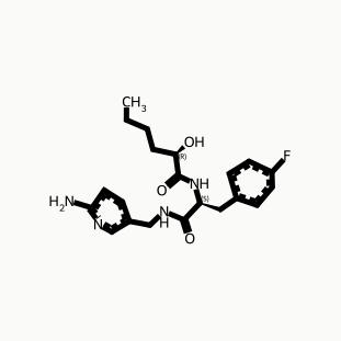 CCCC[C@@H](O)C(=O)N[C@@H](Cc1ccc(F)cc1)C(=O)NCc1ccc(N)nc1